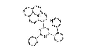 c1ccc(-c2nc(-c3ccccc3-c3cccnc3)cc(-c3ccc4ccc5cccc6ccc3c4c56)n2)cc1